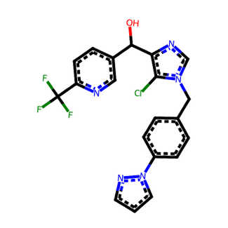 OC(c1ccc(C(F)(F)F)nc1)c1ncn(Cc2ccc(-n3cccn3)cc2)c1Cl